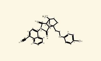 CC12CCC(CCOc3ccc(Cl)cn3)(O1)C1C(=O)N(c3ccc(C#N)c4ncccc34)C(=O)C12